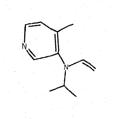 C=CN(c1cnccc1C)C(C)C